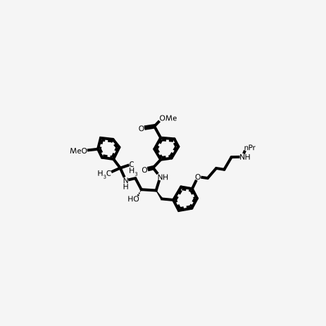 CCCNCCCCOc1cccc(C[C@H](NC(=O)c2cccc(C(=O)OC)c2)[C@H](O)CNC(C)(C)c2cccc(OC)c2)c1